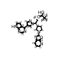 FCC([C@H]1CCN(c2nc3cccnc3o2)C1)n1cc(-c2ncnc3[nH]ccc23)cn1.O=C(O)C(F)(F)F